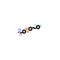 CNC(=O)c1ccc(S(=O)(=O)c2ccc(C=Cc3ccc(F)cc3F)cc2)cc1